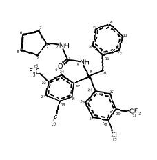 O=C(NC1CCCC1)NC(Cc1ccccc1)(c1cc(F)cc(C(F)(F)F)c1)c1ccc(Cl)c(C(F)(F)F)c1